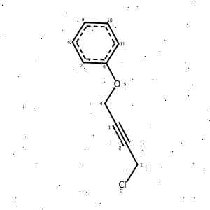 ClCC#CCOc1ccccc1